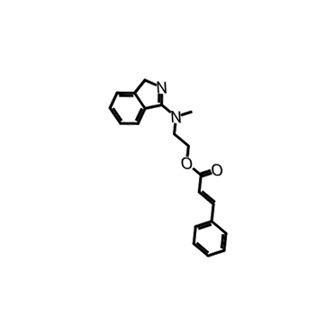 CN(CCOC(=O)/C=C/c1ccccc1)C1=NCc2ccccc21